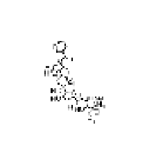 COC(C[C@@H](C)[C@H]1C[C@H](O)[C@@]2(C)C3CC[C@H]4C(C)(C)C(OC(=O)c5cccnc5)CCC45CC35CCC12C)C(O)C(C)(C)O